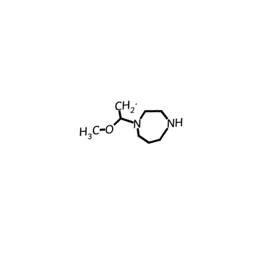 [CH2]C(OC)N1CCCNCC1